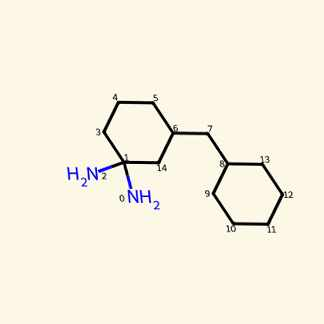 NC1(N)CCCC(CC2CCCCC2)C1